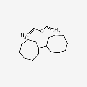 C1CCCC(C2CCCCCCC2)CCC1.C=COC=C